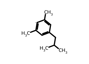 Cc1[c]c(C)cc(CC(C)C)c1